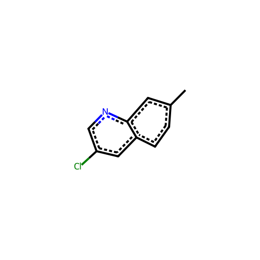 Cc1ccc2cc(Cl)cnc2c1